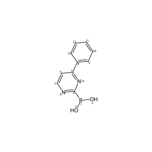 OB(O)c1nccc(-c2ccccc2)n1